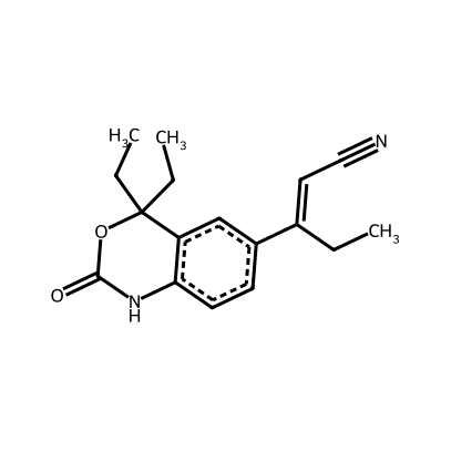 CCC(=CC#N)c1ccc2c(c1)C(CC)(CC)OC(=O)N2